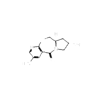 Nc1cnc2c(c1)C(=O)N1C[C@@H](O)C[C@@H]1CO2